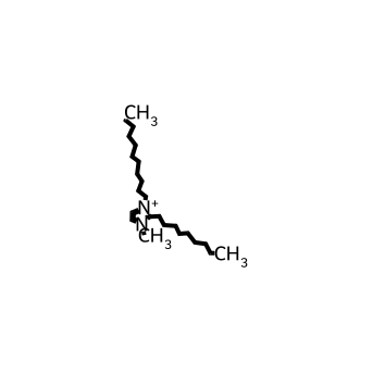 CCCCCCCCCCC[n+]1ccn(C)c1CCCCCCCCC